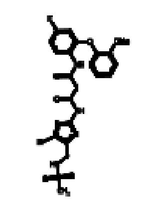 COc1ccccc1Oc1cc(F)ccc1NC(=O)CC(=O)Nc1nc(CNS(C)(=O)=O)c(Br)s1